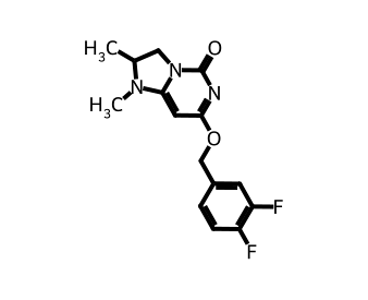 CC1Cn2c(cc(OCc3ccc(F)c(F)c3)nc2=O)N1C